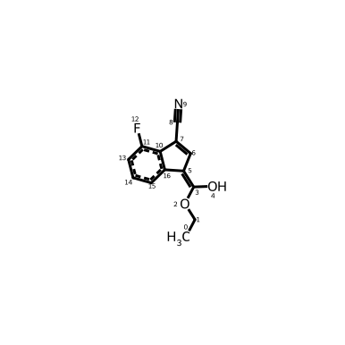 CCO/C(O)=C1/C=C(C#N)c2c(F)cccc21